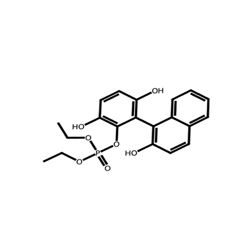 CCOP(=O)(OCC)Oc1c(O)ccc(O)c1-c1c(O)ccc2ccccc12